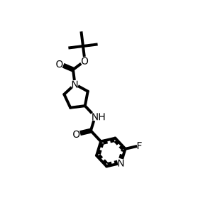 CC(C)(C)OC(=O)N1CCC(NC(=O)c2ccnc(F)c2)C1